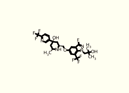 C[C@H]1C[C@@](O)(c2ccc(C(F)(F)F)nc2)C[C@@H](COc2cc(C(F)(F)F)c3c(c2)c(F)nn3CC(C)(C)O)N1